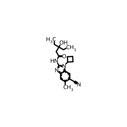 CCC(O)(CC)CC(=O)Nc1nc2cc(C)c(C#N)cc2n1C1CCC1